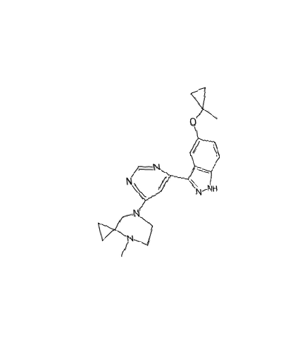 CN1CCN(c2cc(-c3n[nH]c4ccc(OC5(C)CC5)cc34)ncn2)CC12CC2